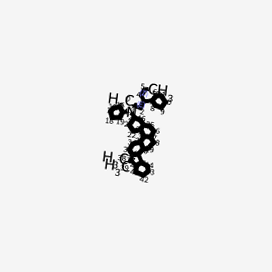 C=C(/C=C(\C=C/C)c1ccccc1)N(c1ccccc1)c1ccc2c(ccc3ccc4c5c(ccc4c32)C(C)(C)c2ccccc2-5)c1